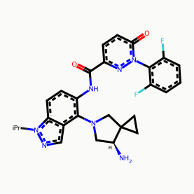 CC(C)n1ncc2c(N3C[C@H](N)C4(CC4)C3)c(NC(=O)c3ccc(=O)n(-c4c(F)cccc4F)n3)ccc21